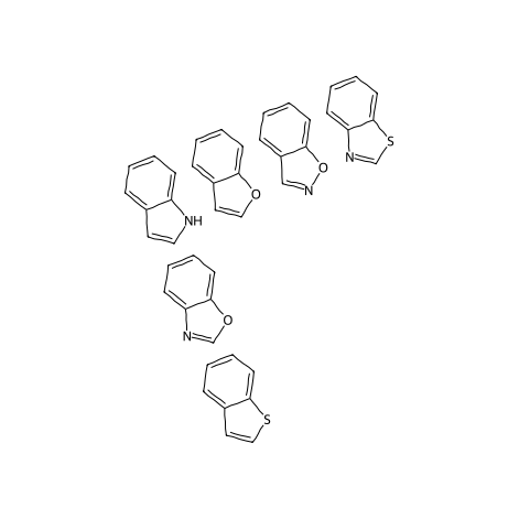 c1ccc2[nH]ccc2c1.c1ccc2occc2c1.c1ccc2ocnc2c1.c1ccc2oncc2c1.c1ccc2sccc2c1.c1ccc2scnc2c1